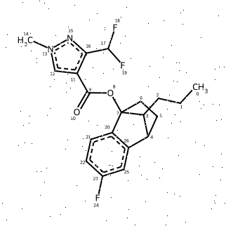 CCCC1C2CCC1(OC(=O)c1cn(C)nc1C(F)F)c1ccc(F)cc12